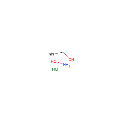 CCCCO.Cl.NO